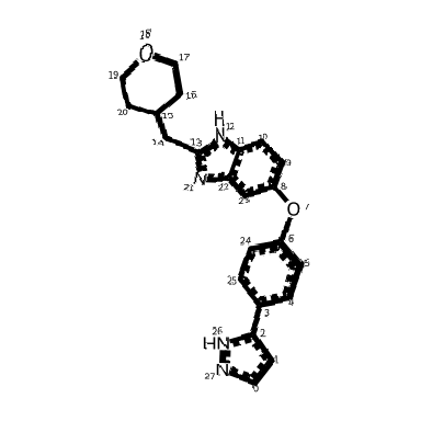 c1cc(-c2ccc(Oc3ccc4[nH]c(CC5CCOCC5)nc4c3)cc2)[nH]n1